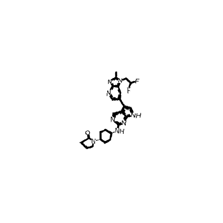 Cc1nc2ncc(-c3c[nH]c4nc(N[C@H]5CC[C@@H](N6CCCC6=O)CC5)ncc34)cc2n1CC(F)F